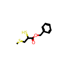 CSCC(S)C(=O)OCc1ccccc1